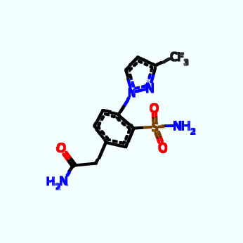 NC(=O)Cc1ccc(-n2ccc(C(F)(F)F)n2)c(S(N)(=O)=O)c1